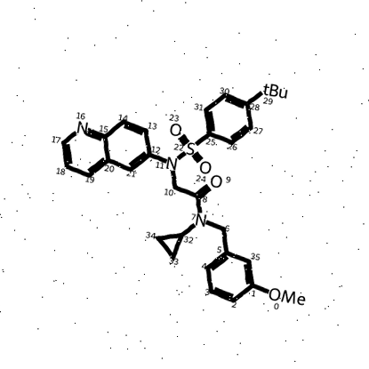 COc1cccc(CN(C(=O)CN(c2ccc3ncccc3c2)S(=O)(=O)c2ccc(C(C)(C)C)cc2)C2CC2)c1